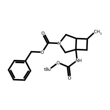 CC1CC2(NC(=O)OC(C)(C)C)CN(C(=O)OCc3ccccc3)CC12